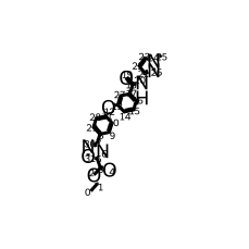 CCOC(=O)c1nc(-c2ccc(Oc3cccc(C(=O)Nc4ccn(C)n4)c3)cc2)no1